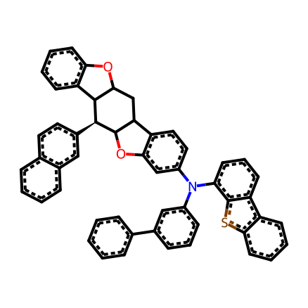 c1ccc(-c2cccc(N(c3ccc4c(c3)OC3C4CC4Oc5ccccc5C4[C@@H]3c3ccc4ccccc4c3)c3cccc4c3sc3ccccc34)c2)cc1